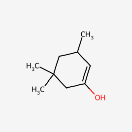 CC1C=C(O)CC(C)(C)C1